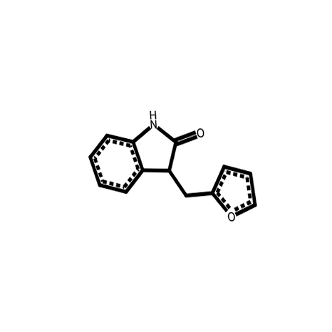 O=C1Nc2ccccc2C1Cc1ccco1